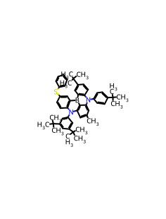 Cc1cc2c3c(c1)N(c1ccc(C(C)(C)C)cc1)c1ccc(C(C)(C)C)cc1B3c1cc(Sc3ccccc3)ccc1N2c1cc(C(C)(C)C)cc(C(C)(C)C)c1